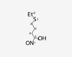 CCSCCCC(O)N=O